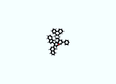 c1ccc(-c2cccc(-c3nc4c5ccccc5c5ccccc5c4nc3-n3c4ccc5sc6c7ccccc7ccc6c5c4c4ccc5ccccc5c43)c2)cc1